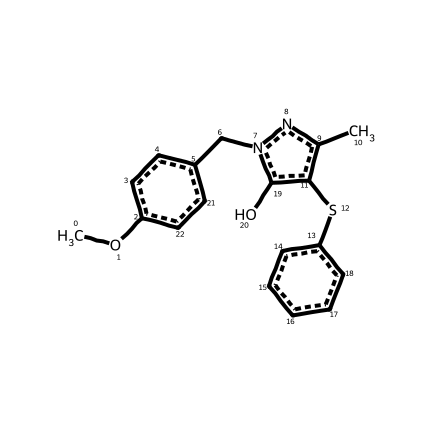 COc1ccc(Cn2nc(C)c(Sc3ccccc3)c2O)cc1